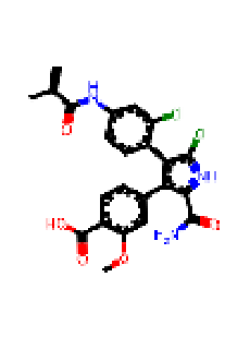 C=C(C)C(=O)Nc1ccc(-c2c(Cl)[nH]c(C(N)=O)c2-c2ccc(C(=O)O)c(OC)c2)c(Cl)c1